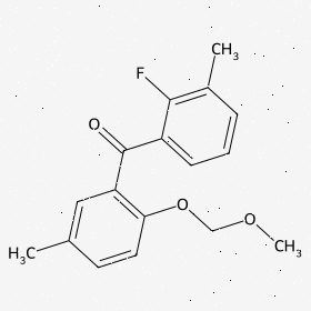 COCOc1ccc(C)cc1C(=O)c1cccc(C)c1F